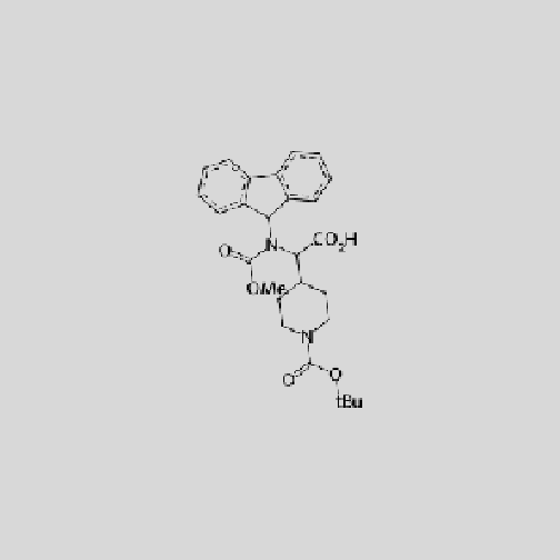 COC(=O)N(C1c2ccccc2-c2ccccc21)C(C(=O)O)C1CCN(C(=O)OC(C)(C)C)CC1